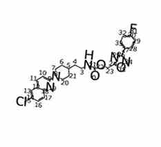 O=C(NCCC1CCN(c2ccc3cc(Cl)ccc3n2)CC1)OCc1nc(-c2ccc(F)cc2)no1